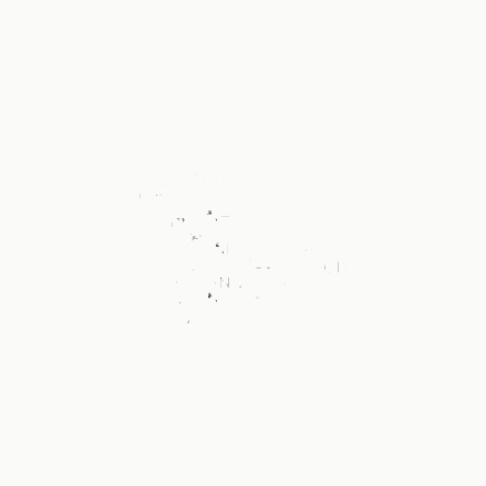 CC(C(=O)O)c1ccc(-n2nc(C(C)(C)C)cc2NC(=O)Nc2cccc(Cl)c2Cl)cc1